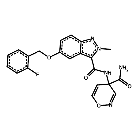 Cn1nc2ccc(OCc3ccccc3F)cc2c1C(=O)NC1(C(N)=O)C=CON=C1